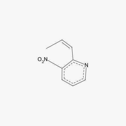 C/C=C\c1ncccc1[N+](=O)[O-]